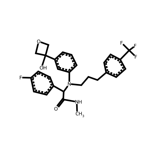 CNC(=O)C(c1ccc(F)cc1)N(CCCc1ccc(C(F)(F)F)cc1)c1cccc(C2(O)COC2)c1